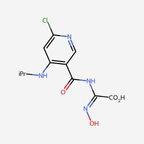 CC(C)Nc1cc(Cl)ncc1C(=O)NC(=NO)C(=O)O